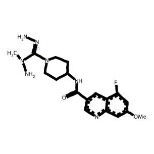 COc1cc(F)c2cc(C(=O)NC3CCN(/C(=N/N)N(C)N)CC3)cnc2c1